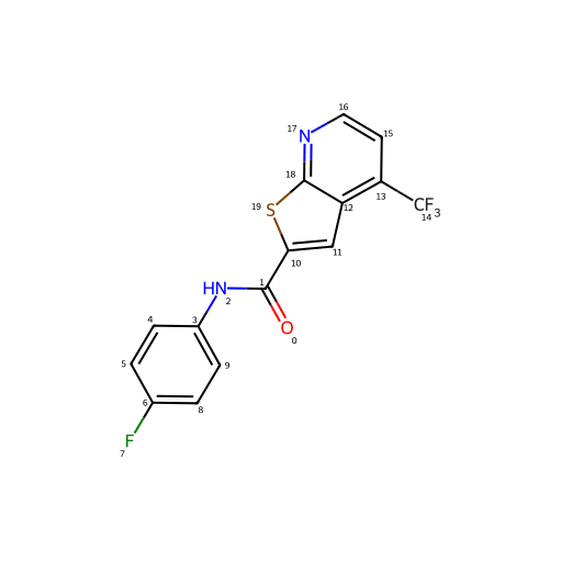 O=C(Nc1ccc(F)cc1)c1cc2c(C(F)(F)F)ccnc2s1